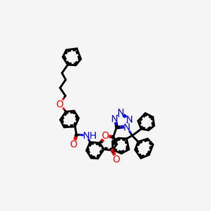 O=C(Nc1cccc2c(=O)cc(-c3nnnn3C(c3ccccc3)(c3ccccc3)c3ccccc3)oc12)c1ccc(OCCCCc2ccccc2)cc1